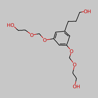 OCCCc1cc(OCOCCO)cc(OCOCCO)c1